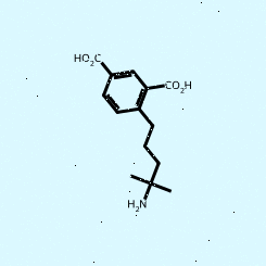 CC(C)(N)CCCc1ccc(C(=O)O)cc1C(=O)O